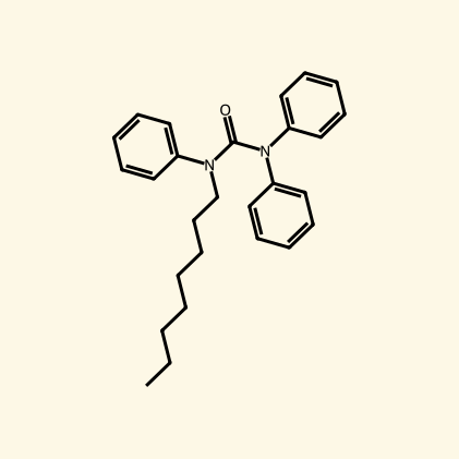 CCCCCCCCN(C(=O)N(c1ccccc1)c1ccccc1)c1ccccc1